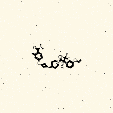 CCOc1cccc([C@@](O)(C(=O)N2CCC(C[C@H]3C[C@@H](Oc4ccc(C(=O)N(C)C)c(C)c4)C3)CC2)C(F)(F)F)c1